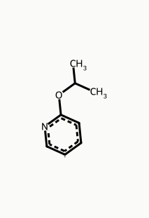 CC(C)Oc1cc[c]cn1